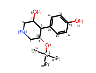 CC(C)[Si](O[C@@H]1CNCC(O)C1c1ccc(O)cc1)(C(C)C)C(C)C